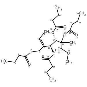 C/C=C(/COC(=O)CCC)[C@H](OC(=O)CCC)[C@H](OC(=O)CCC)C(C)(OC(=O)CCC)[C@H](O)OC